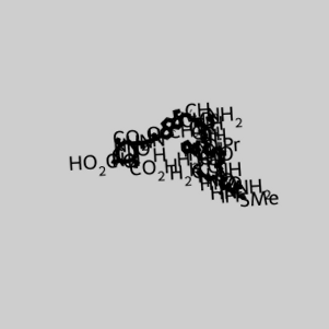 C=CN/C=N\C[C@H](NC(=O)CNC(=O)[C@@H](NC(=O)[C@H](C)NC(=O)[C@H](Cc1c[nH]c2ccccc12)NC(=O)[C@H](CCC(N)=O)NC(=O)CC[C@@H](C)[C@H]1CCC2C3CCC4C[C@@H](NC(=O)CNC(=O)CN5CCN(CC(=O)O)CCN(CC(=O)O)CCN(CC(=O)O)CC5)CC[C@]4(C)C3CC[C@@]21C)C(C)C)C(=O)N[C@@H](CC(C)C)C(=O)N[C@@H](CCSC)C(N)=O